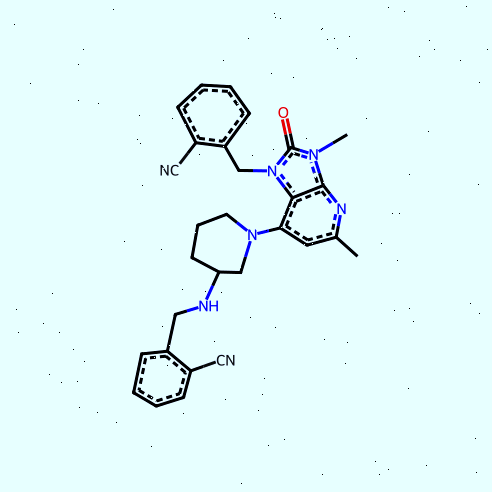 Cc1cc(N2CCCC(NCc3ccccc3C#N)C2)c2c(n1)n(C)c(=O)n2Cc1ccccc1C#N